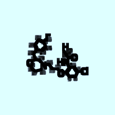 NC(=O)Nc1cc(Cl)ccc1OCCCN1CCCOC(Cc2ccc(F)cc2)C1